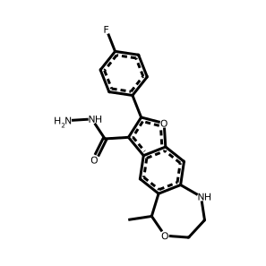 CC1OCCNc2cc3oc(-c4ccc(F)cc4)c(C(=O)NN)c3cc21